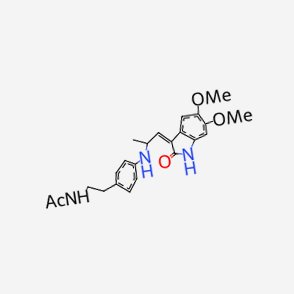 COc1cc2c(cc1OC)C(=CC(C)Nc1ccc(CCNC(C)=O)cc1)C(=O)N2